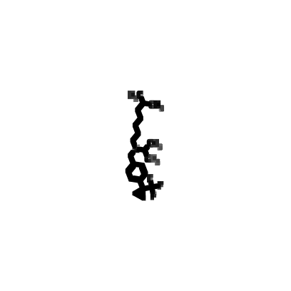 CC(C)CCCCCN(Cc1ccc(C2(C(F)(F)F)CC2)cc1)C(C)C